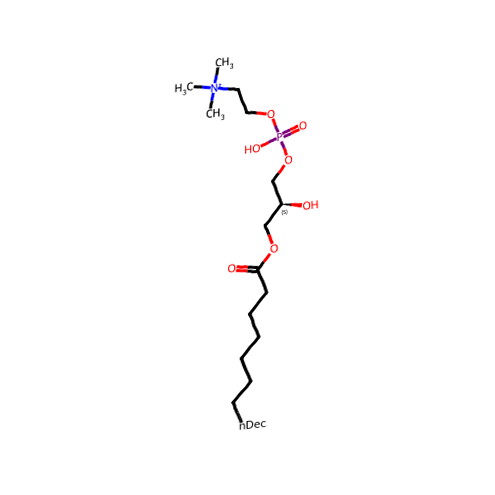 CCCCCCCCCCCCCCCCC(=O)OC[C@H](O)COP(=O)(O)OCC[N+](C)(C)C